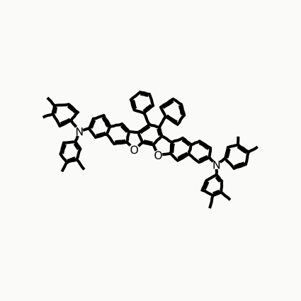 Cc1ccc(N(c2ccc(C)c(C)c2)c2ccc3cc4c(cc3c2)oc2c3oc5cc6cc(N(c7ccc(C)c(C)c7)c7ccc(C)c(C)c7)ccc6cc5c3c(-c3ccccc3)c(-c3ccccc3)c42)cc1C